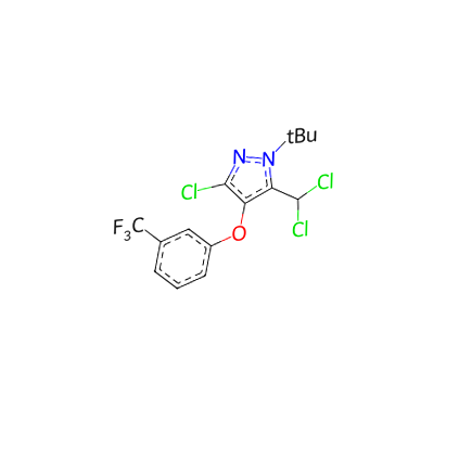 CC(C)(C)n1nc(Cl)c(Oc2cccc(C(F)(F)F)c2)c1C(Cl)Cl